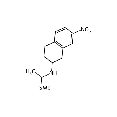 CSC(C)NC1CCc2ccc([N+](=O)[O-])cc2C1